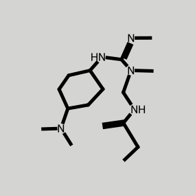 C=C(CC)NCN(C)/C(=N\C)NC1CCC(N(C)C)CC1